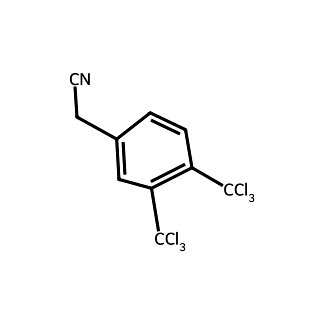 N#CCc1ccc(C(Cl)(Cl)Cl)c(C(Cl)(Cl)Cl)c1